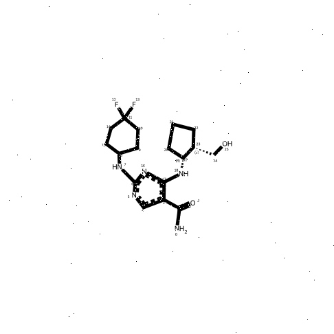 NC(=O)c1cnc(NC2CCC(F)(F)CC2)nc1N[C@@H]1CCC[C@@H]1CO